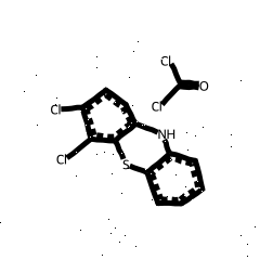 Clc1ccc2c(c1Cl)Sc1ccccc1N2.O=C(Cl)Cl